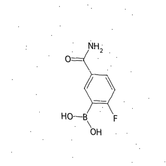 NC(=O)c1ccc(F)c(B(O)O)c1